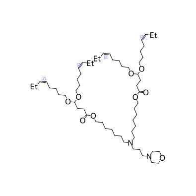 CC/C=C\CCCCOC(CCC(=O)OCCCCCCCN(CCCCCCCOC(=O)CCC(OCCCC/C=C\CC)OCCCC/C=C\CC)CCCN1CCOCC1)OCCCC/C=C\CC